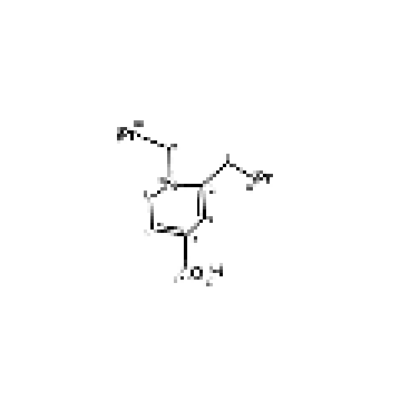 CC(C)CC1=CC(C(=O)O)=CCN1CC(C)C